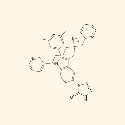 Cc1cc(C)cc(-c2[nH]c3ccc(-n4nn[nH]c4=O)cc3c2CC(N)(CCCCc2cccnc2)Cc2ccccc2)c1